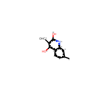 Cc1ccc2c(O)c(C=O)c(O)nc2c1